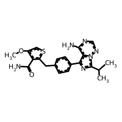 COc1csc(Cc2ccc(-c3nc(C(C)C)n4ncnc(N)c34)cc2)c1C(N)=O